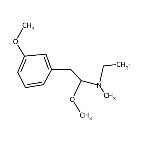 [CH2]CN(C)C(Cc1cccc(OC)c1)OC